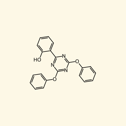 Oc1ccccc1-c1nc(Oc2ccccc2)nc(Oc2ccccc2)n1